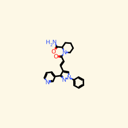 NC(=O)C1CCCCN1C(=O)C=Cc1cn(-c2ccccc2)nc1-c1cccnc1